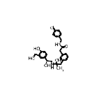 CC(C)(Cc1cccc(CC(=O)NCc2ccc(Cl)cc2)c1)NC[C@@H](O)c1ccc(O)c(CO)c1